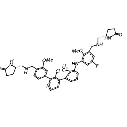 COc1cc(-c2nccc(-c3cccc(Nc4cc(F)cc(CNC[C@@H]5CCC(=O)N5)c4OC)c3C)c2Cl)ccc1CNC[C@@H]1CCC(=O)N1